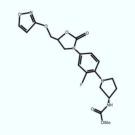 COC(=O)N[C@@H]1CCN(c2ccc(N3CC(COc4ccon4)OC3=O)cc2F)C1